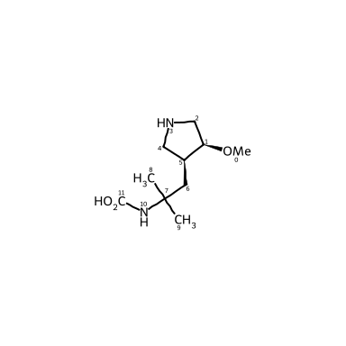 CO[C@@H]1CNC[C@@H]1CC(C)(C)NC(=O)O